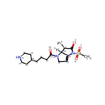 CC(C)[C@H]1C(=O)N(S(C)(=O)=O)C2=CCN(C(=O)CCCC3CCNCC3)[C@@H]21